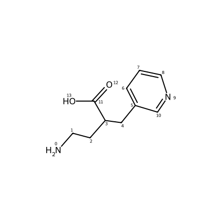 NCCC(Cc1cccnc1)C(=O)O